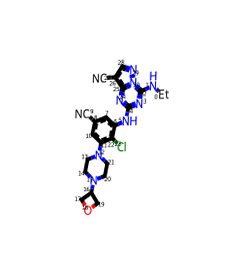 CCNc1nc(Nc2cc(C#N)cc(N3CCN(C4COC4)CC3)c2Cl)nc2c(C#N)cnn12